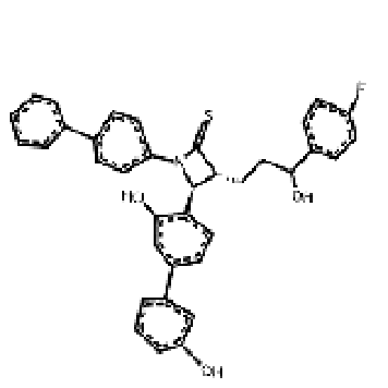 Oc1cccc(-c2ccc([C@@H]3[C@@H](CC[C@H](O)c4ccc(F)cc4)C(=S)N3c3ccc(-c4ccccc4)cc3)c(O)c2)c1